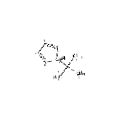 C[C](C)(C)[GeH]1[CH]=CC=[CH]1